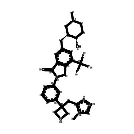 CN1CC[C@H](O)[C@H](Cc2cc3c(c(C(F)(F)F)c2)CN(c2cccc(C4(Cc5nncn5C)COC4)c2)C3=O)C1